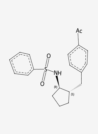 CC(=O)c1ccc(C[C@@H]2CCC[C@H]2NS(=O)(=O)c2ccccc2)cc1